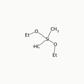 [CH][Si](C)(OCC)OCC